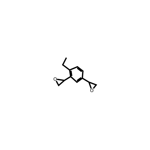 CCc1ccc(C2CO2)cc1C1CO1